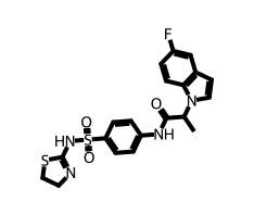 CC(C(=O)Nc1ccc(S(=O)(=O)NC2=NCCS2)cc1)n1ccc2cc(F)ccc21